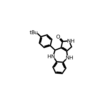 CC(C)(C)c1ccc(C2Nc3ccccc3NC3=C2C(=O)NC3)cc1